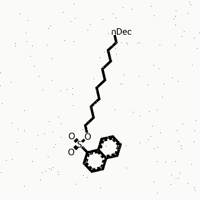 CCCCCCCCCCCCCCCCCCCCOS(=O)(=O)c1cccc2ccccc12